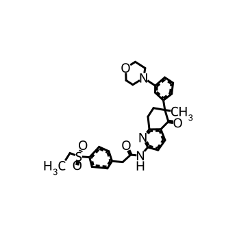 CCS(=O)(=O)c1ccc(CC(=O)Nc2ccc3c(n2)CCC(C)(c2cccc(N4CCOCC4)c2)C3=O)cc1